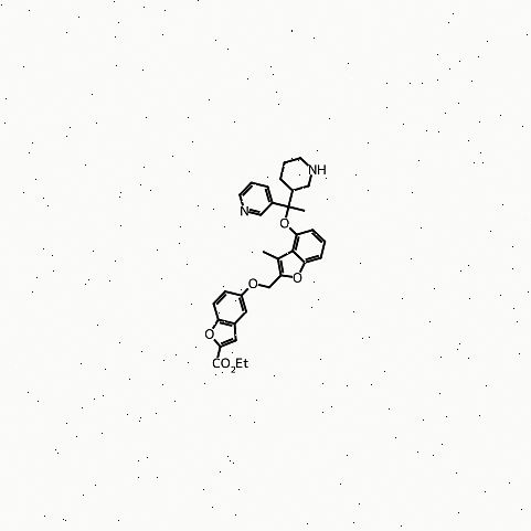 CCOC(=O)c1cc2cc(OCc3oc4cccc(OC(C)(c5cccnc5)C5CCCNC5)c4c3C)ccc2o1